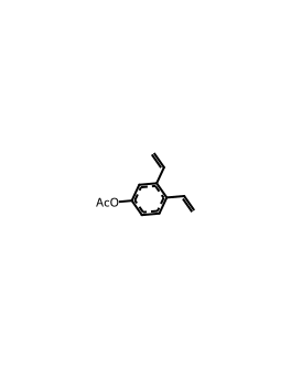 C=Cc1ccc(OC(C)=O)cc1C=C